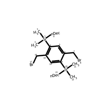 CCCCCCCCCC[Si](C)(C)c1cc(CBr)c([Si](C)(C)CCCCCCCCCC)cc1CBr